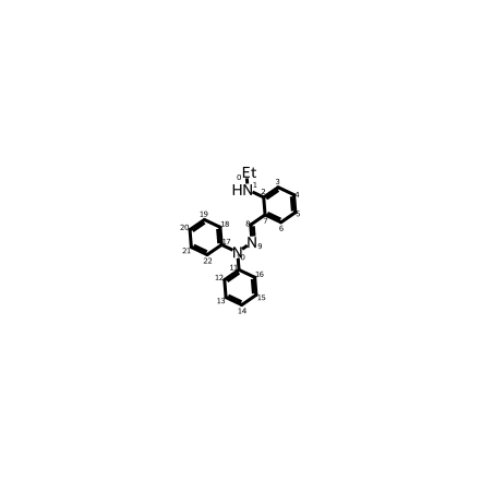 CCNc1ccccc1C=NN(c1ccccc1)c1ccccc1